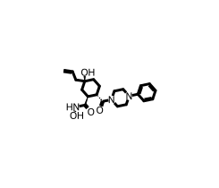 C=CC[C@]1(O)CC[C@H](C(=O)N2CCN(c3ccccc3)CC2)[C@@H](C(=O)NO)C1